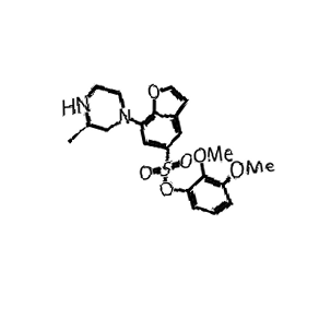 COc1cccc(OS(=O)(=O)c2cc(N3CCN[C@H](C)C3)c3occc3c2)c1OC